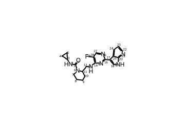 O=C(NC1CC1)N1CCCCC1CNc1nc(-c2c[nH]c3ncccc23)ncc1F